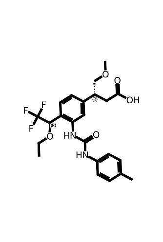 CCO[C@H](c1ccc([C@H](COC)CC(=O)O)cc1NC(=O)Nc1ccc(C)cc1)C(F)(F)F